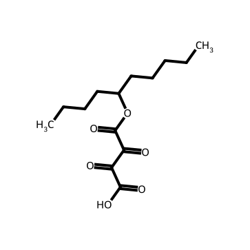 CCCCCC(CCCC)OC(=O)C(=O)C(=O)C(=O)O